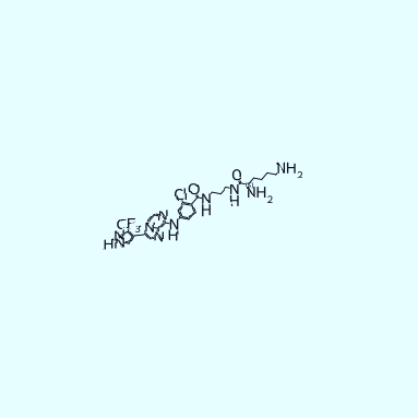 NCCCC[C@H](N)C(=O)NCCCNC(=O)c1ccc(Nc2nccn3c(-c4c[nH]nc4C(F)(F)F)cnc23)cc1Cl